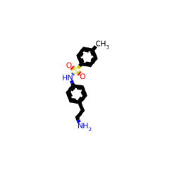 Cc1ccc(S(=O)(=O)Nc2ccc(CCN)cc2)cc1